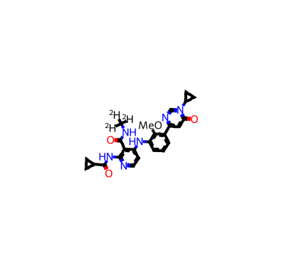 [2H]C([2H])([2H])NC(=O)c1c(Nc2cccc(-c3cc(=O)n(C4CC4)cn3)c2OC)ccnc1NC(=O)C1CC1